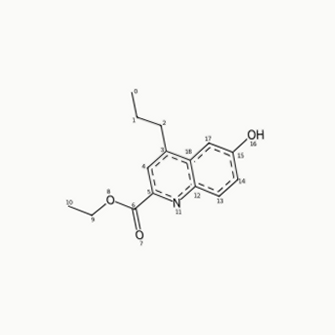 CCCc1cc(C(=O)OCC)nc2ccc(O)cc12